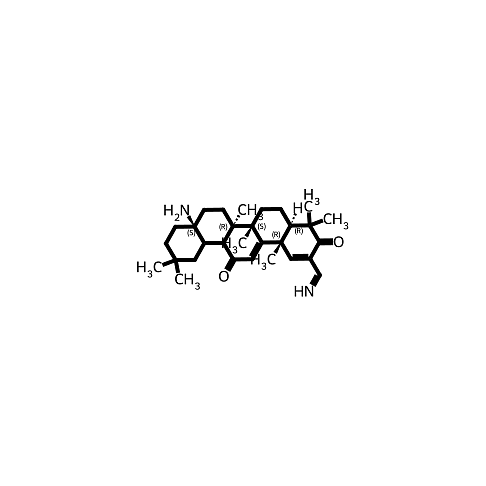 CC1(C)CC[C@]2(N)CC[C@]3(C)C(C(=O)C=C4[C@@]5(C)C=C(C=N)C(=O)C(C)(C)[C@@H]5CC[C@]43C)C2C1